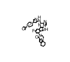 O=C1c2cc3c(n2CCN1c1cc(F)cc(-c2cn4ccnc4c(NC4=CC(N5CCN(C6COC6)CC5)C=N4)n2)c1CO)CCCC3